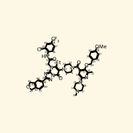 CCc1c(N2CCN(C(=O)c3cc(N4CCN(C)CC4)nc(C)c3OCc3ccc(OC)cc3)CC2)c(=O)n2nc(-c3ccc4c(c3)COC4)nc2n1CC(=O)Nc1ccc(C(F)(F)F)cc1Cl